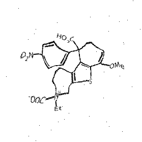 CC[N+]1(C(=O)[O-])CCc2c(sc3c2C(C(=O)O)(c2ccc([N+](=O)[O-])cc2)CC=C3OC)C1